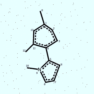 Cc1ccc(-c2c[c]cn2C)c(C)c1